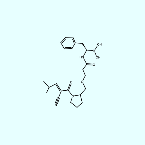 CC(C)C=C(C#N)C(=O)N1CCCC1COCCC(=O)N[C@@H](Cc1ccccc1)B(O)O